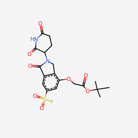 CC(C)(C)OC(=O)COc1cc(S(=O)(=O)F)cc2c1CN(C1CCC(=O)NC1=O)C2=O